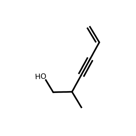 C=CC#CC(C)CO